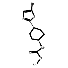 CCC(C)OC(=O)N[C@H]1CC[C@H](c2ncc(Br)s2)CC1